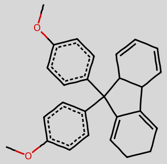 COc1ccc(C2(c3ccc(OC)cc3)C3=CCCC=C3C3C=CC=CC32)cc1